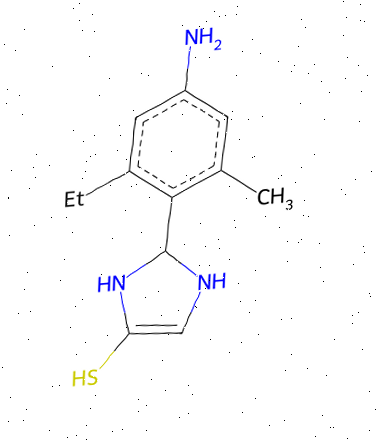 CCc1cc(N)cc(C)c1C1NC=C(S)N1